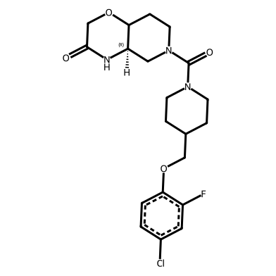 O=C1COC2CCN(C(=O)N3CCC(COc4ccc(Cl)cc4F)CC3)C[C@H]2N1